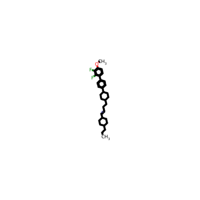 CCCC1CCC(/C=C/CCC2CCC(c3ccc(-c4ccc(OC)c(F)c4F)cc3)CC2)CC1